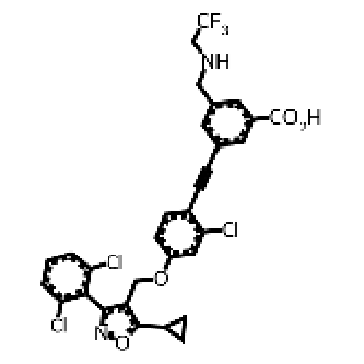 O=C(O)c1cc(C#Cc2ccc(OCc3c(-c4c(Cl)cccc4Cl)noc3C3CC3)cc2Cl)cc(CNCC(F)(F)F)c1